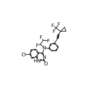 O=c1nc(N(c2cccc(C#CC3(C(F)(F)F)CC3)c2)C(F)C(F)F)c2ccc(Cl)cc2[nH]1